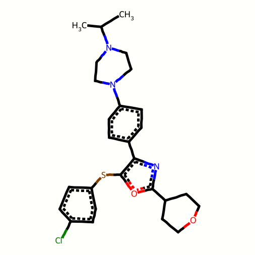 CC(C)N1CCN(c2ccc(-c3nc(C4CCOCC4)oc3Sc3ccc(Cl)cc3)cc2)CC1